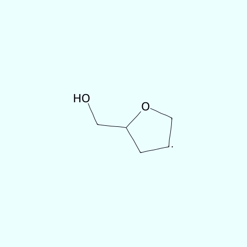 OCC1C[CH]CO1